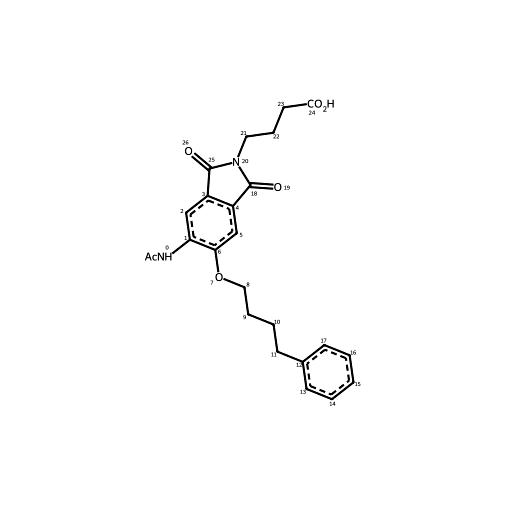 CC(=O)Nc1cc2c(cc1OCCCCc1ccccc1)C(=O)N(CCCC(=O)O)C2=O